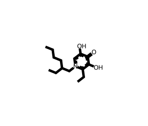 CCCCC(CC)Cn1cc(O)c(=O)c(O)c1CC